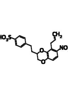 C=CCc1c([N+](=O)[O-])ccc2c1OC(CCc1ccc(S(=O)(=O)O)cc1)CO2